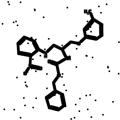 Cc1cccc(OCC(CNc2ccccc2[N+](=O)[O-])NC(=O)OCc2ccccc2)c1